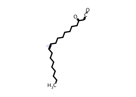 CCCCCCCC/C=C\CCCCCCCC(=O)C=C=O